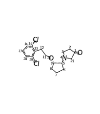 O=C1CCN([C@H]2CCC[C@@H]2OCCc2c(Cl)cccc2Cl)C1